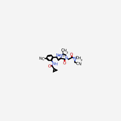 C[C@H]1CN(CC(=O)N(C)CC#N)C(=O)c2cc(-c3ccc(C#N)cc3NC(=O)C3CC3)nn21